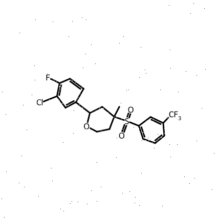 CC1(S(=O)(=O)c2cccc(C(F)(F)F)c2)CCOC(c2ccc(F)c(Cl)c2)C1